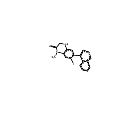 CN1C(=O)CNc2cc(-c3cncc4ccccc34)c(F)cc21